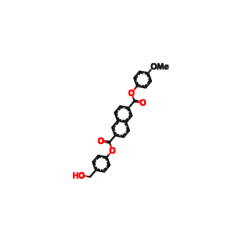 COc1ccc(OC(=O)c2ccc3cc(C(=O)Oc4ccc(CO)cc4)ccc3c2)cc1